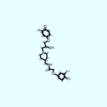 O=C(COc1ccc(Cl)c(F)c1)NCC1CCN(CC(O)COc2ccc(Cl)c(F)c2)CC1